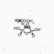 O.O.O.O.O=P(O)(O)OP(=O)(O)O.[Cu]